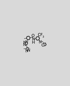 Cc1ccc(C(=O)Nc2cc(N(C)Cc3ccco3)cc(C(F)(F)F)c2)cc1-n1cc(-c2cnn(C)c2C)nn1